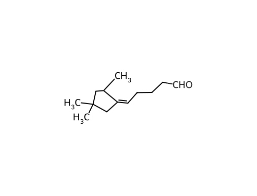 CC1CC(C)(C)C/C1=C/CCCC=O